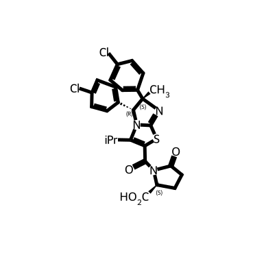 CC(C)C1=C(C(=O)N2C(=O)CC[C@H]2C(=O)O)SC2=N[C@@](C)(c3ccc(Cl)cc3)[C@@H](c3ccc(Cl)cc3)N21